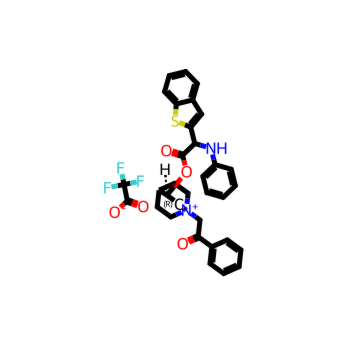 O=C(C[N+]12CCC(CC1)[C@@H](OC(=O)C(Nc1ccccc1)c1cc3ccccc3s1)C2)c1ccccc1.O=C([O-])C(F)(F)F